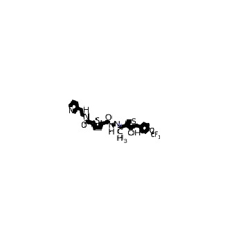 C/C(=N\NC(=O)c1ccc(C(=O)NCCc2cccnc2)s1)c1csc(-c2ccc(OC(F)(F)F)cc2)c1O